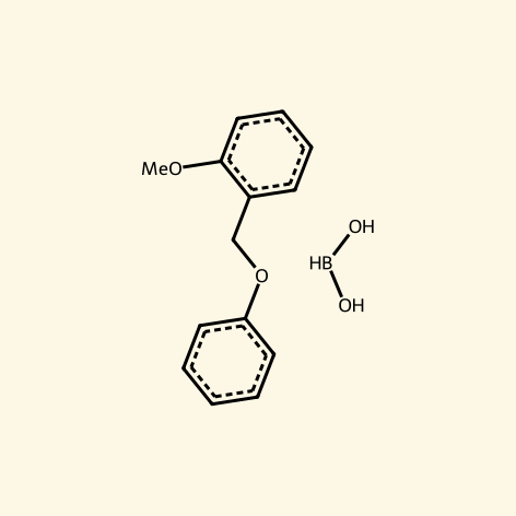 COc1ccccc1COc1ccccc1.OBO